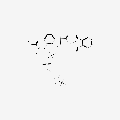 COC(=O)[C@H](C)Cc1cccc(C(C)(CCCC(C)(C)CS(=O)(=O)CCO[Si](C)(C)C(C)(C)C)C(=O)ON2C(=O)c3ccccc3C2=O)c1